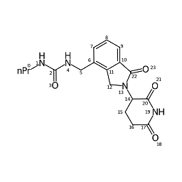 CCCNC(=O)NCc1cccc2c1CN(C1CCC(=O)NC1=O)C2=O